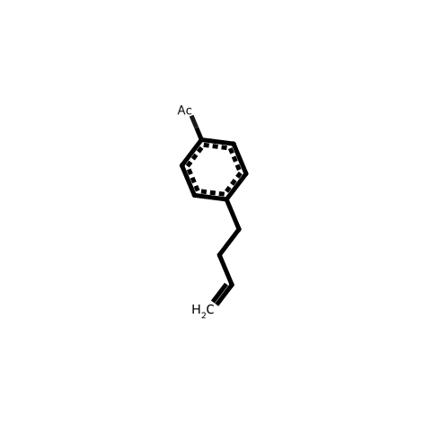 C=CCCc1ccc(C(C)=O)cc1